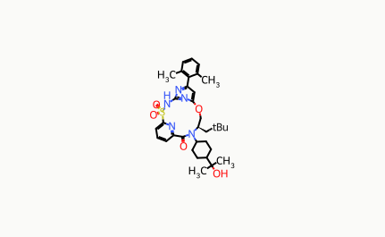 Cc1cccc(C)c1-c1cc2nc(n1)NS(=O)(=O)c1cccc(n1)C(=O)N(C1CCC(C(C)(C)O)CC1)[C@H](CC(C)(C)C)CO2